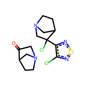 Clc1nsnc1C1(Cl)CN2CCC1C2.O=C1CN2CCC1C2